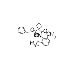 Cc1cccc(C)c1NC(=O)C1(C(=O)OCc2ccccc2)CCC1